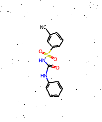 N#Cc1cccc(S(=O)(=O)NC(=O)Nc2ccccc2)c1